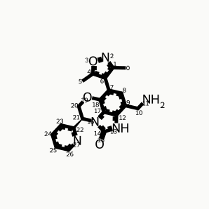 Cc1noc(C)c1-c1cc(CN)c2[nH]c(=O)n3c2c1OC[C@@H]3c1ccccn1